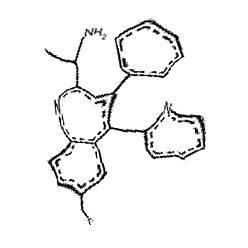 CC(N)c1nc2ccc(F)cc2c(-c2ccccn2)c1-c1ccccc1